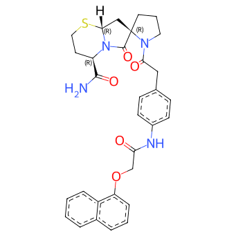 NC(=O)[C@H]1CCS[C@@H]2C[C@]3(CCCN3C(=O)Cc3ccc(NC(=O)COc4cccc5ccccc45)cc3)C(=O)N12